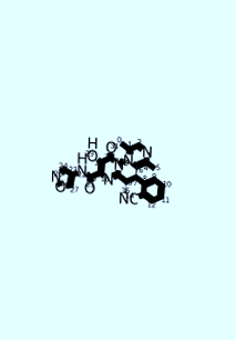 Cc1cnc(C)c([C@H](c2ccccc2C#N)[C@H](C)c2nc(C(=O)Nc3cnoc3)c(O)c(=O)n2C)n1